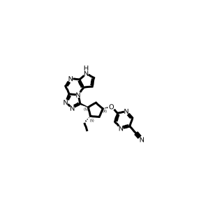 CC[C@H]1C[C@@H](Oc2cnc(C#N)cn2)C[C@@H]1c1nnc2cnc3[nH]ccc3n12